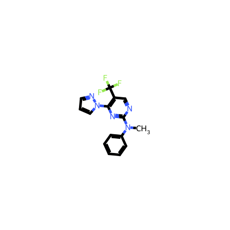 CN(c1ccccc1)c1ncc(C(F)(F)F)c(-n2cccn2)n1